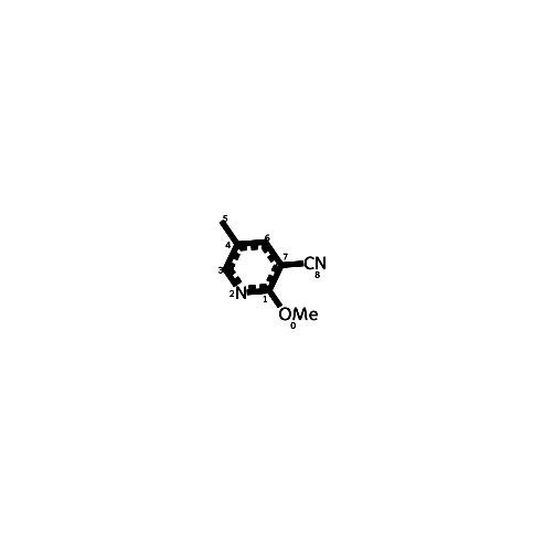 COc1ncc(C)cc1C#N